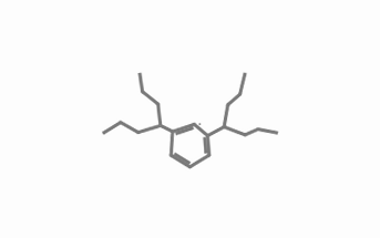 CCCC(CCC)c1[c]c(C(CCC)CCC)ccc1